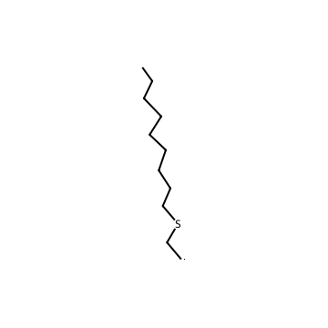 [CH2]CSCCCCCCCCC